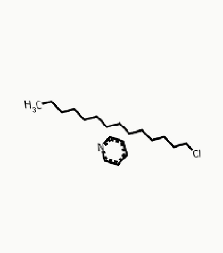 CCCCCCCCCCCCCCCl.c1ccncc1